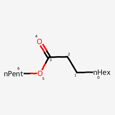 CCCCCCCCC(=O)OCCCCC